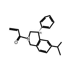 C=CC(=O)N1Cc2ccc(C(C)C)cc2[C@@H](c2ccccc2)C1